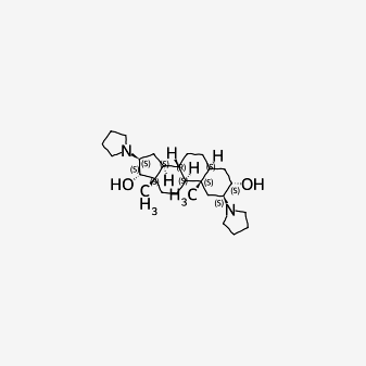 C[C@]12C[C@H](N3CCCC3)[C@@H](O)C[C@@H]1CC[C@@H]1[C@@H]2CC[C@]2(C)[C@H](O)[C@@H](N3CCCC3)C[C@@H]12